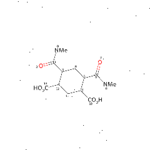 CNC(=O)C1CC(C(=O)NC)C(C(=O)O)CC1C(=O)O